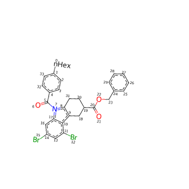 CCCCCCc1ccc(C(=O)n2c3c(c4c(Br)cc(Br)cc42)CC(C(=O)OCc2ccccc2)CC3)cc1